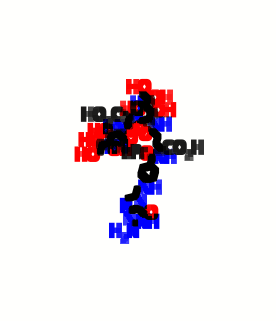 CCCNC(=O)[C@@H](NC(=O)[C@H](CC(=O)O)NC(=O)[C@@H](NC(=O)CC[C@H](NC(=O)c1ccc(NCc2cnc3nc(N)[nH]c(=O)c3n2)cc1)C(=O)O)[C@@H](O)[C@H](O)[C@H](O)CO)[C@@H](O)[C@H](O)[C@H](O)CO